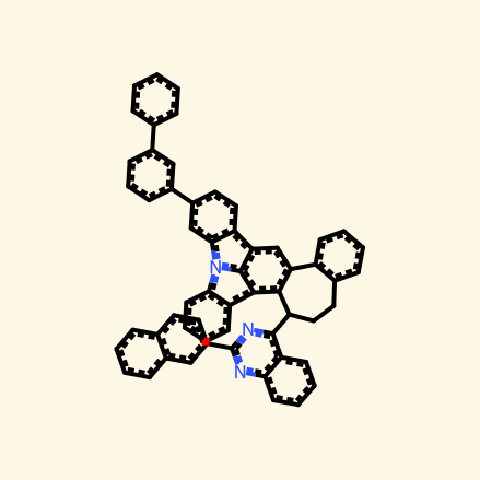 c1ccc(-c2cccc(-c3ccc4c5cc6c(c7c8ccccc8n(c4c3)c57)C(c3nc(-c4ccc5ccccc5c4)nc4ccccc34)CCc3ccccc3-6)c2)cc1